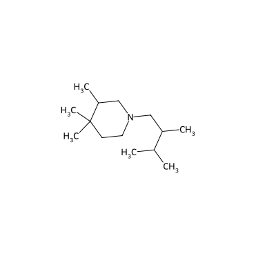 CC(C)C(C)CN1CCC(C)(C)C(C)C1